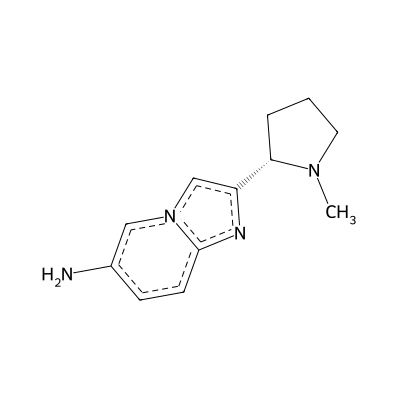 CN1CCC[C@H]1c1cn2cc(N)ccc2n1